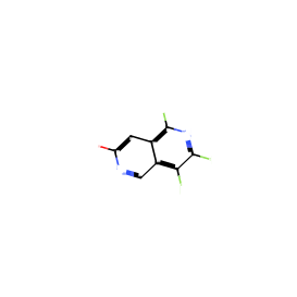 Oc1cc2c(F)nc(F)c(F)c2cn1